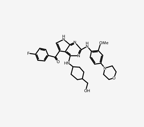 COc1cc(N2CCOCC2)ccc1Nc1nc(NC2CCC(CO)CC2)c2c(C(=O)c3ccc(F)cc3)c[nH]c2n1